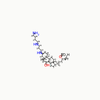 CC(C)[C@@H](CC[C@@H](C)[C@H]1CCC2C3C(CC[C@@]21C)[C@@]1(C)CC[C@H](NCCCNCCCCN)C[C@H]1C[C@H]3O)OS(=O)(=O)O